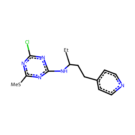 CCC(CCc1ccncc1)Nc1nc(Cl)nc(SC)n1